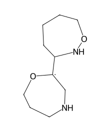 C1CCC([C]2CNCCCO2)NOC1